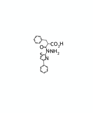 NN(C(=O)C(Cc1ccccc1)C(=O)O)c1nc(-c2ccccc2)cs1